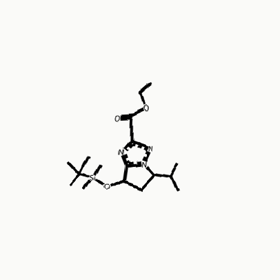 CCOC(=O)c1nc2n(n1)C(C(C)C)CC2O[Si](C)(C)C(C)(C)C